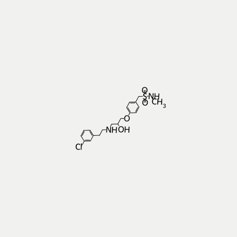 CNS(=O)(=O)Cc1ccc(OCC(O)CNCCc2cccc(Cl)c2)cc1